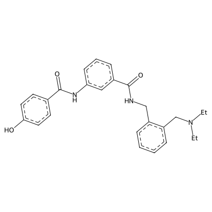 CCN(CC)Cc1ccccc1CNC(=O)c1cccc(NC(=O)c2ccc(O)cc2)c1